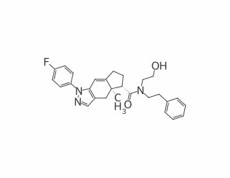 C[C@]12Cc3cnn(-c4ccc(F)cc4)c3C=C1CC[C@@H]2C(=O)N(CCO)CCc1ccccc1